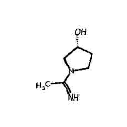 CC(=N)N1CC[C@@H](O)C1